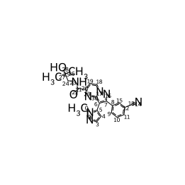 Cn1nccc1-c1c(-c2cccc(C#N)c2)nn2ccc(C(=O)NCC(C)(C)O)nc12